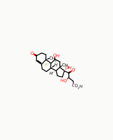 C[C@]12CCC(=O)C=C1CC[C@H]1[C@@H]3CC[C@](O)(C(=O)C(O)CC(=O)O)[C@@]3(C)CC(O)[C@@]12F